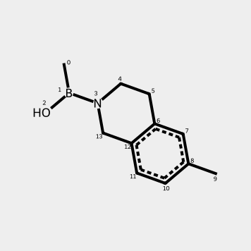 CB(O)N1CCc2cc(C)ccc2C1